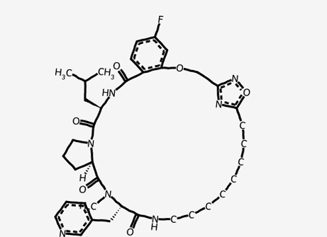 CC(C)C[C@H]1NC(=O)c2ccc(F)cc2OCc2noc(n2)CCCCCCCCNC(=O)[C@H](Cc2cccnc2)N(C)C(=O)[C@H]2CCCN2C1=O